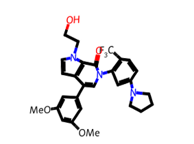 COc1cc(OC)cc(-c2cn(-c3cc(N4CCCC4)ccc3C(F)(F)F)c(=O)c3c2ccn3CCO)c1